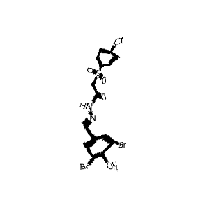 O=C(CS(=O)(=O)c1ccc(Cl)cc1)NN=Cc1cc(Br)c(O)c(Br)c1